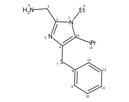 CCn1c(CN)nc(Sc2ccccc2)c1C(C)C